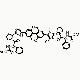 COC(=O)N[C@@H](C(=O)N1CCC[C@H]1c1ncc(-c2cc3c4c(c2)OCc2cc(-c5[nH]c([C@@H]6CCCN6C(=O)[C@H](NC(=O)OC)c6ccccc6)nc5Cl)cc(c2-4)OC3)[nH]1)c1ccccc1